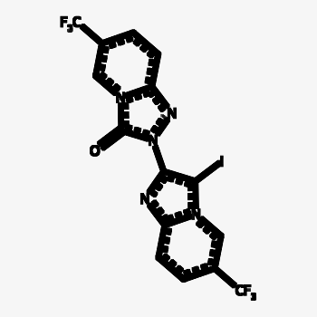 O=c1n(-c2nc3ccc(C(F)(F)F)cn3c2I)nc2ccc(C(F)(F)F)cn12